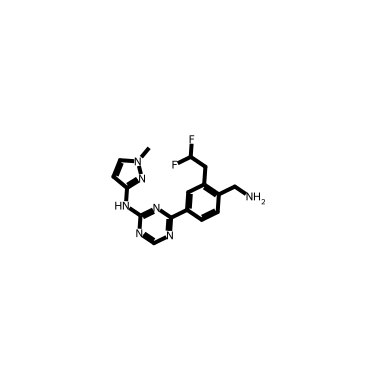 Cn1ccc(Nc2ncnc(-c3ccc(CN)c(CC(F)F)c3)n2)n1